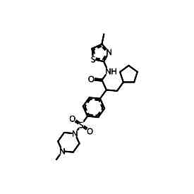 Cc1csc(NC(=O)C(CC2CCCC2)c2ccc(S(=O)(=O)N3CCN(C)CC3)cc2)n1